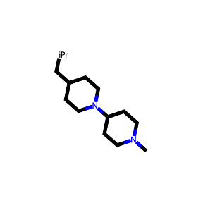 CC(C)CC1CCN(C2CCN(C)CC2)CC1